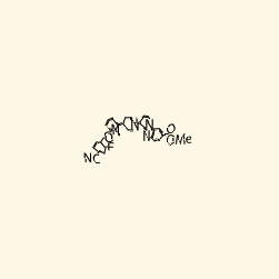 COC(=O)c1ccc2nc3n(c2c1)CCC3N1CCC(c2cccc(OCc3ccc(C#N)cc3F)n2)CC1